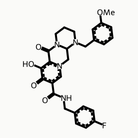 COc1cccc(CN2CCCN3C(=O)c4c(O)c(=O)c(C(=O)NCc5ccc(F)cc5)cn4CC23)c1